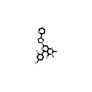 Cc1nc2cc(N3CCC(c4ccccn4)C3)nc(-c3ccc(Cl)cc3F)c2c(=O)n1C